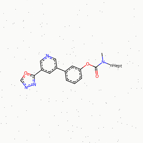 CCCCCCCN(C)C(=O)Oc1cccc(-c2cncc(-c3nnco3)c2)c1